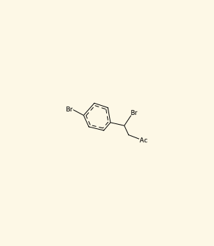 CC(=O)CC(Br)c1ccc(Br)cc1